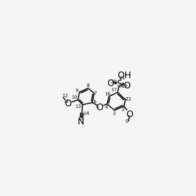 COc1cc(Oc2cccc(OC)c2C#N)cc(S(=O)(=O)O)c1